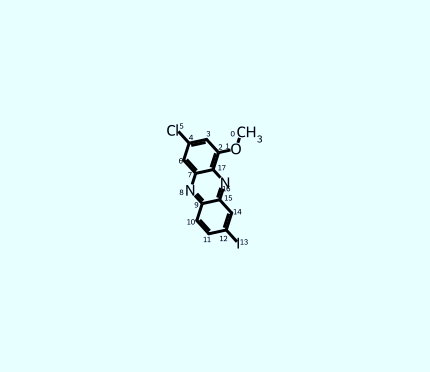 COc1cc(Cl)cc2nc3ccc(I)cc3nc12